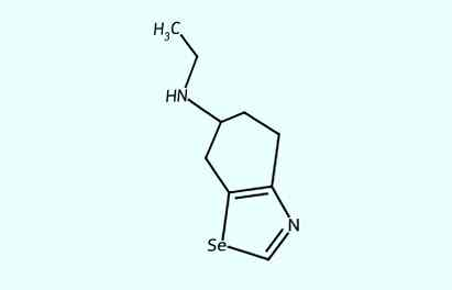 CCNC1CCc2nc[se]c2C1